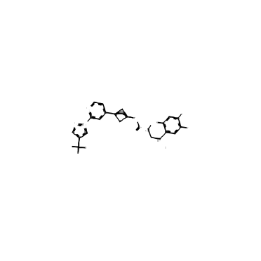 O=C(NC12CC(c3ccnc(-n4cc(C(F)(F)F)cn4)c3)(C1)C2)[C@H]1C[C@@H](O)c2cc(Cl)c(F)cc2O1